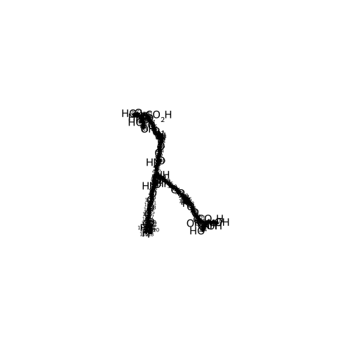 O=N[C@](CC[C@H](C[C@H](O)CCO)NC(=O)CO)(OCCOCCOCc1cn(CCOCCOCCCNCCCC(=O)N[C@@H](CCCCNC(=O)CCOCCOCCn2cc(COCCOCCO[C@@]3(C(=O)O)CC[C@@H](NC(=O)CO)[C@H]([C@H](O)CCO)O3)nn2)CNCC(=O)NCCOCCOCCOCCOCCC(=O)Oc2c(F)c(F)c(F)c(F)c2F)nn1)C(=O)O